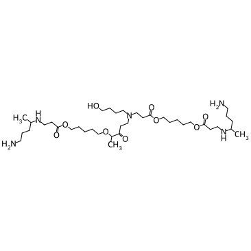 CC(CCCN)NCCC(=O)OCCCCCOC(=O)CCN(CCCCO)CCC(=O)C(C)OCCCCCOC(=O)CCNC(C)CCCN